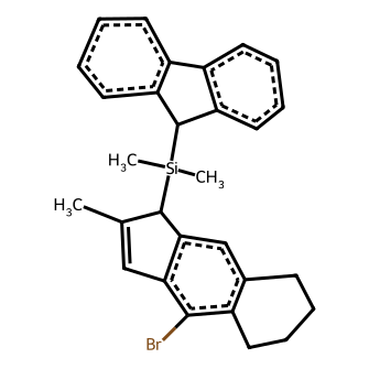 CC1=Cc2c(cc3c(c2Br)CCCC3)C1[Si](C)(C)C1c2ccccc2-c2ccccc21